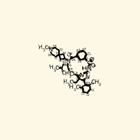 CCc1c2nc(nc1-c1c(C)cccc1C)NS(=O)(=O)c1cccc(c1)C(=O)N(C1CC3(CCN(C)CC3)C1)[C@H](CC(C)C)CO2